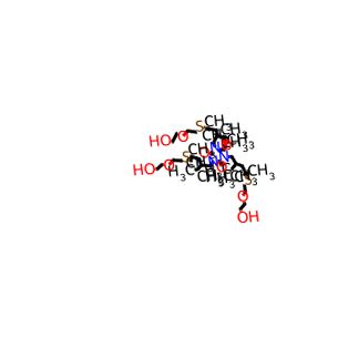 CC(C)C(Cn1c(=O)n(CC(CC(C)(C)SCCOCCO)C(C)(C)C)c(=O)n(CC(CC(C)(C)SCCOCCO)C(C)(C)C)c1=O)CC(C)(C)SCCOCCO